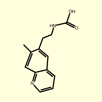 Cc1cc2ncccc2cc1CCNC(=O)O